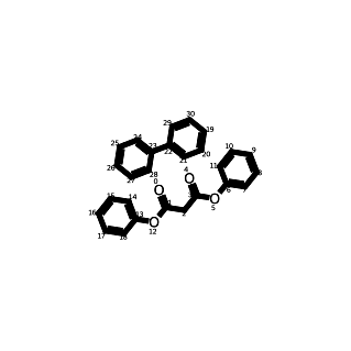 O=C(CC(=O)Oc1ccccc1)Oc1ccccc1.c1ccc(-c2ccccc2)cc1